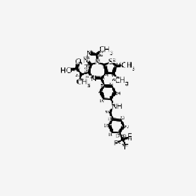 Cc1sc2c(c1C)C(c1ccc(NCc3ccc(C(F)(F)F)cc3)cc1)=N[C@@H](C(C)C(=O)O)c1nnc(C)n1-2